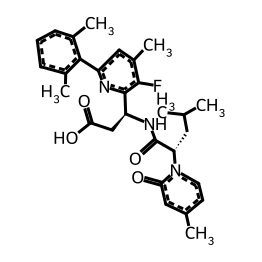 Cc1ccn([C@@H](CC(C)C)C(=O)N[C@@H](CC(=O)O)c2nc(-c3c(C)cccc3C)cc(C)c2F)c(=O)c1